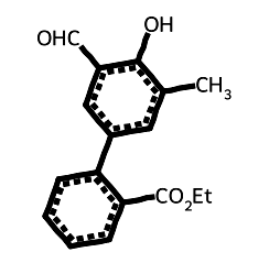 CCOC(=O)c1ccccc1-c1cc(C)c(O)c(C=O)c1